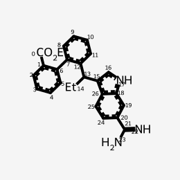 CCOC(=O)c1ccccc1-c1ccccc1C(CC)c1c[nH]c2cc(C(=N)N)ccc12